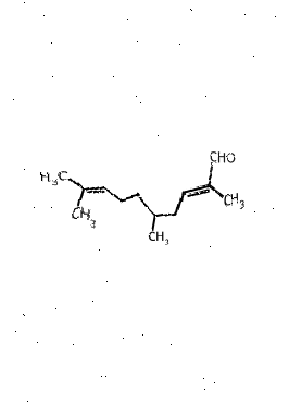 CC(C)=CCCC(C)C/C=C(\C)C=O